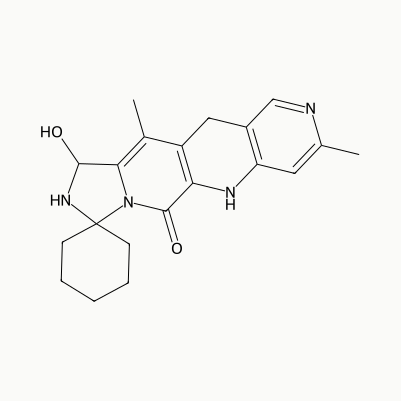 Cc1cc2c(cn1)Cc1c(C)c3n(c(=O)c1N2)C1(CCCCC1)NC3O